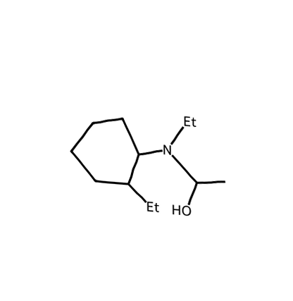 CCC1CCCCC1N(CC)C(C)O